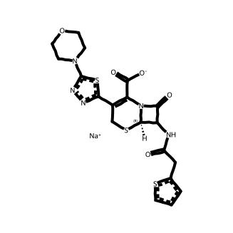 O=C(Cc1cccs1)NC1C(=O)N2C(C(=O)[O-])=C(c3nnc(N4CCOCC4)s3)CS[C@H]12.[Na+]